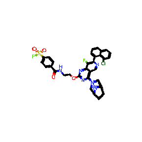 O=C(NCCOc1nc(N2CC3CCC(C2)N3)c2cnc(-c3cccc4cccc(Cl)c34)c(F)c2n1)c1ccc(S(=O)(=O)F)cc1